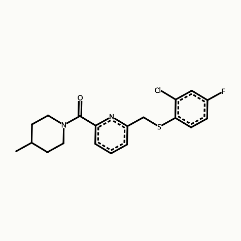 CC1CCN(C(=O)c2cccc(CSc3ccc(F)cc3Cl)n2)CC1